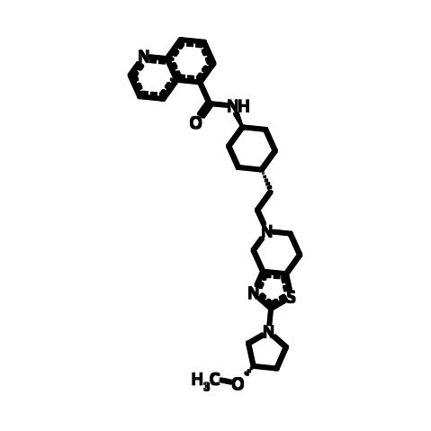 CO[C@H]1CCN(c2nc3c(s2)CCN(CC[C@H]2CC[C@H](NC(=O)c4cccc5ncccc45)CC2)C3)C1